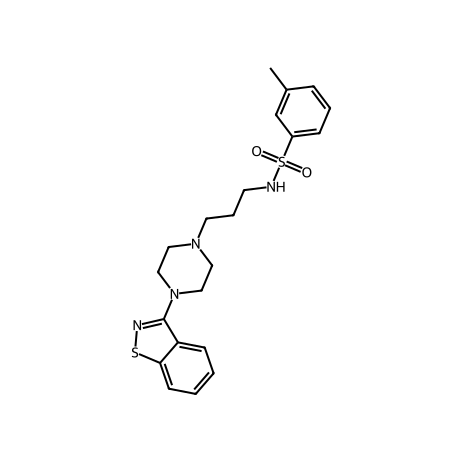 Cc1cccc(S(=O)(=O)NCCCN2CCN(c3nsc4ccccc34)CC2)c1